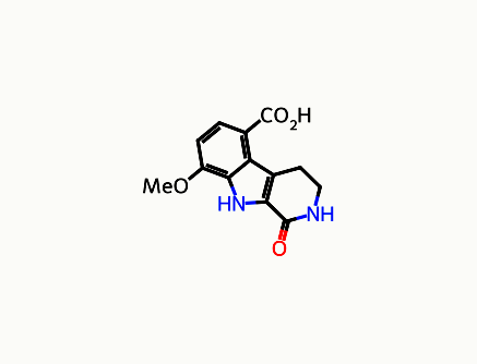 COc1ccc(C(=O)O)c2c3c([nH]c12)C(=O)NCC3